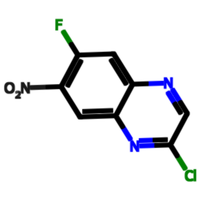 O=[N+]([O-])c1cc2nc(Cl)cnc2cc1F